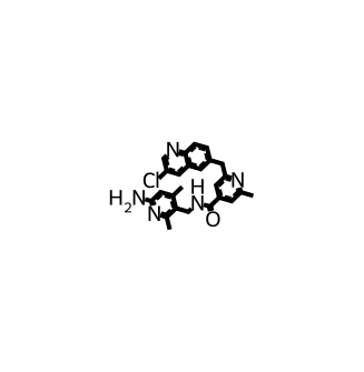 Cc1cc(C(=O)NCc2c(C)cc(N)nc2C)cc(Cc2ccc3ncc(Cl)cc3c2)n1